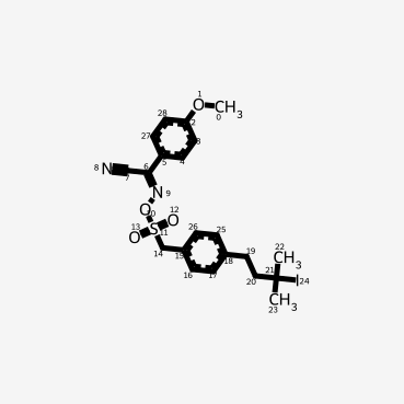 COc1ccc(C(C#N)=NOS(=O)(=O)Cc2ccc(CCC(C)(C)I)cc2)cc1